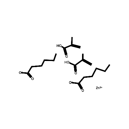 C=C(C)C(=O)O.C=C(C)C(=O)O.CCCCCC(=O)[O-].CCCCCC(=O)[O-].[Zn+2]